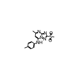 Cc1ccc(Nc2cc(C)nc3nc(S(C)(=O)=O)nn23)cc1